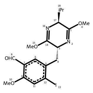 COC1=N[C@H](Cc2cc(C=O)c(OC)cc2I)C(OC)=N[C@H]1C(C)C